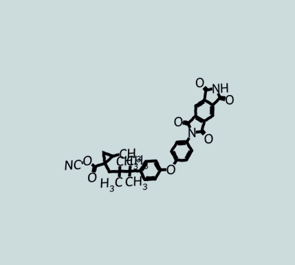 CC1CC1(CC(C)(C)C(C)(C)c1ccc(Oc2ccc(-n3c(=O)c4cc5c(=O)[nH]c(=O)c5cc4c3=O)cc2)cc1)C(=O)OC#N